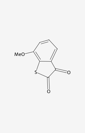 COc1cccc2c1SC(=O)C2=O